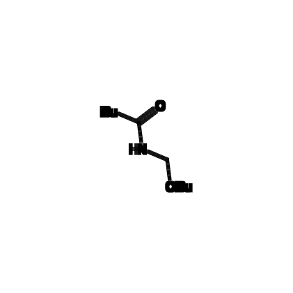 CCC(C)C(=O)NCOCC(C)C